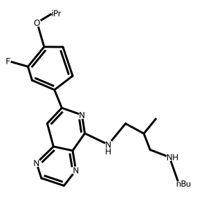 CCCCNCC(C)CNc1nc(-c2ccc(OC(C)C)c(F)c2)cc2nccnc12